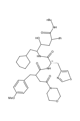 CCCCNC(=O)C(CC(O)C(CC1CCCCC1)NC(=O)[C@H](Cc1cscn1)NC(=O)C(CC(=O)N1CCOCC1)Cc1ccc(OC)cc1)C(C)C